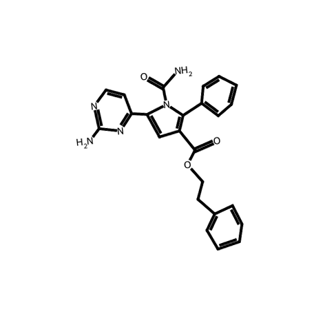 NC(=O)n1c(-c2ccnc(N)n2)cc(C(=O)OCCc2ccccc2)c1-c1ccccc1